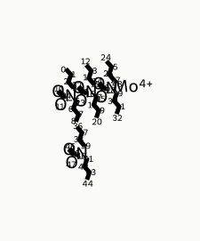 CCCCN(CCCC)C(=O)[O-].CCCCN(CCCC)C(=O)[O-].CCCCN(CCCC)C(=O)[O-].CCCCN(CCCC)C(=O)[O-].[Mo+4]